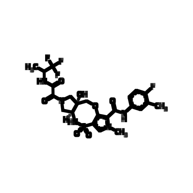 Cc1cc(NC(=O)c2c3c(cn2C)S(=O)(=O)N[C@H]2CN(C(=O)C(=O)NC(C)C(F)(F)F)C[C@@]2(O)CO3)ccc1F